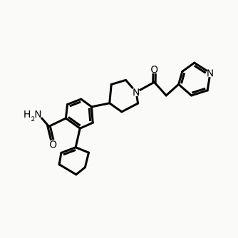 NC(=O)c1ccc(C2CCN(C(=O)Cc3ccncc3)CC2)cc1C1=CCCCC1